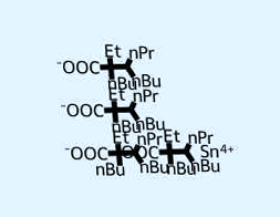 CCCCC(CCC)C(CC)(CCCC)C(=O)[O-].CCCCC(CCC)C(CC)(CCCC)C(=O)[O-].CCCCC(CCC)C(CC)(CCCC)C(=O)[O-].CCCCC(CCC)C(CC)(CCCC)C(=O)[O-].[Sn+4]